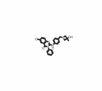 CC1(O)CN(Cc2ccc(Nc3nc4ccc(Cl)cc4c(=O)n3-c3ccccc3)cc2)C1